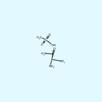 CS(=O)(=O)O.NC(=O)N(N)N